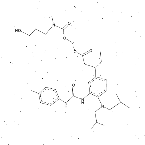 CC[C@@H](CC(=O)OCOC(=O)N(C)CCCO)c1ccc(N(CC(C)C)CC(C)C)c(NC(=O)Nc2ccc(C)cc2)c1